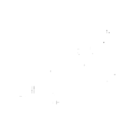 CNC(=O)c1cc(Oc2ccc(NC(=O)Nc3cc(C(F)(F)F)ccc3-n3ccnc3)c(F)c2)cc[n+]1O